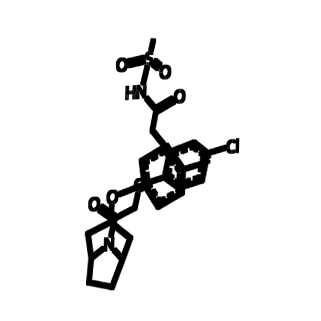 CS(=O)(=O)NC(=O)Cc1cc(Cl)ccc1OCC(=O)N1C2CCC1CC(Oc1ccc(F)cc1)C2